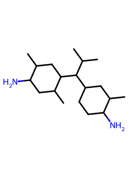 CC(C)C(C1CCC(N)C(C)C1)C1CC(C)C(N)CC1C